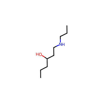 CCCNCCC(O)CCC